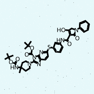 CC1(NC(=O)OC(C)(C)C)CCN(c2nc3ccc(Sc4cccc(NC(=O)C5=C(O)CN(c6ccccc6)C5=O)c4)nc3n2C(=O)OC(C)(C)C)CC1